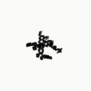 COC(=O)c1cc(-c2cc3c(cnn3COCCS(C)(C)C)nc2[C@H](Cc2cc(F)cc(F)c2)NC(=O)OC(C)(C)C)ccc1Cl